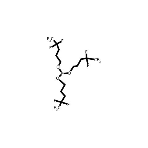 FC(F)(F)C(F)(F)CCCOP(OCCCC(F)(F)C(F)(F)F)OCCCC(F)(F)C(F)(F)F